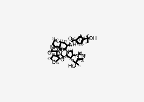 CC(C)(O)c1ccc(C(=O)NC(CC2CCCCC2)C(=O)N2C[C@@H](n3nncc3C(C)(C)O)C[C@H]2C(=O)NC2(C(=O)C(N)=O)CCOCC2)cc1